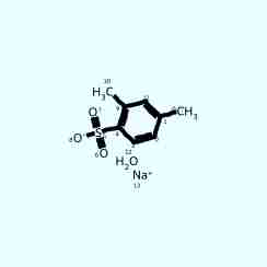 Cc1ccc(S(=O)(=O)[O-])c(C)c1.O.[Na+]